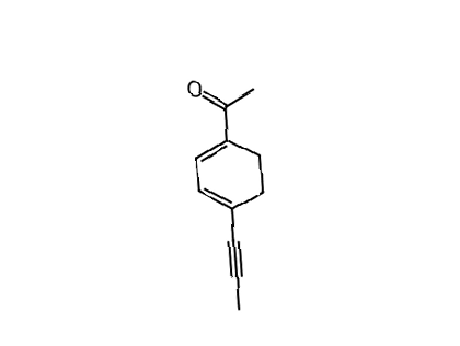 CC#CC1=CC=C(C(C)=O)CC1